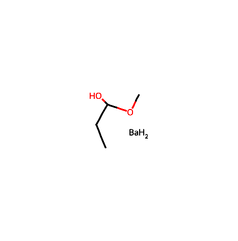 CCC(O)OC.[BaH2]